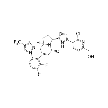 O=C1C=C(c2c(-n3cc(C(F)(F)F)nn3)ccc(Cl)c2F)C[C@H]2CC[C@@H](c3ncc(-c4ccc(CO)nc4Cl)[nH]3)N12